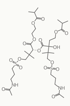 CC(=O)NCCCS(=O)(=O)OCC(C)(C)[C@@H](OC(=O)C(O)(CCOC(=O)C(C)C)C(C)(C)COS(=O)(=O)CCCNC(C)=O)C(=O)OCCOC(=O)C(C)C